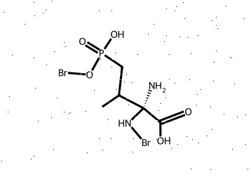 CC(CP(=O)(O)OBr)[C@](N)(NBr)C(=O)O